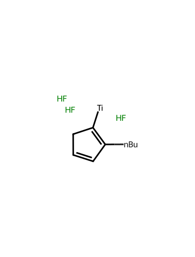 CCCCC1=[C]([Ti])CC=C1.F.F.F